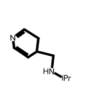 CC(C)NCC1C=CN=CC1